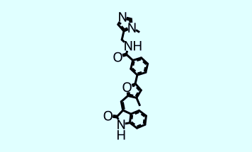 Cc1cc(-c2cccc(C(=O)NCc3cncn3C)c2)oc1/C=C1/C(=O)Nc2ccccc21